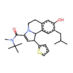 CC(C)Cc1cc2c(cc1O)CCN1C(C(=O)N(C)C(C)(C)C)=CC(c3cccs3)C21